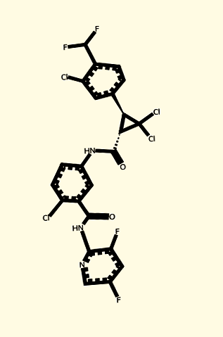 O=C(Nc1ncc(F)cc1F)c1cc(NC(=O)[C@@H]2[C@@H](c3ccc(C(F)F)c(Cl)c3)C2(Cl)Cl)ccc1Cl